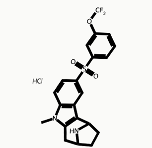 Cl.Cn1c2c(c3cc(S(=O)(=O)c4cccc(OC(F)(F)F)c4)ccc31)C1CCC(C2)N1